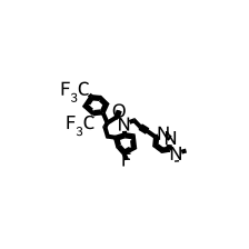 CN(C)c1ccc(C#CCN2C(=O)C(c3ccc(C(F)(F)F)cc3C(F)(F)F)CCc3cc(F)ccc32)nn1